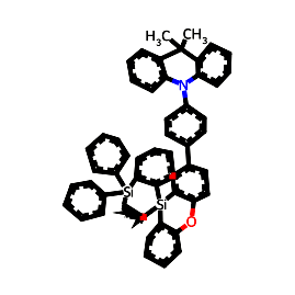 CC1(C)c2ccccc2N(c2ccc(-c3ccc4c(c3)[Si]3(c5ccccc5O4)c4ccccc4[Si](c4ccccc4)(c4ccccc4)c4ccccc43)cc2)c2ccccc21